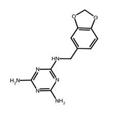 Nc1nc(N)nc(NCc2ccc3c(c2)OCO3)n1